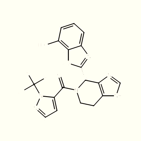 Cc1cccc2nc([C@@H]3c4nc[nH]c4CCN3C(=O)c3ccnn3C(F)(F)F)oc12